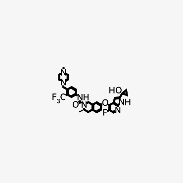 C[C@@H]1Cc2ccc(Oc3c(F)cnc4[nH]c(C5(O)CC5)cc34)cc2CN1C(=O)Nc1ccc(CN2CCN(C)CC2)c(C(F)(F)F)c1